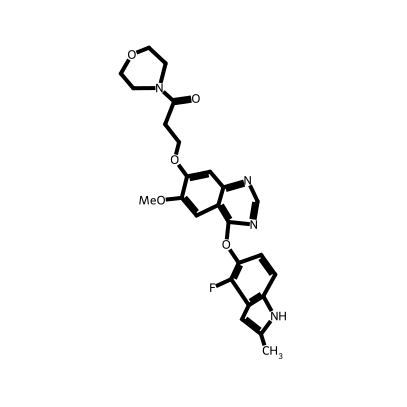 COc1cc2c(Oc3ccc4[nH]c(C)cc4c3F)ncnc2cc1OCCC(=O)N1CCOCC1